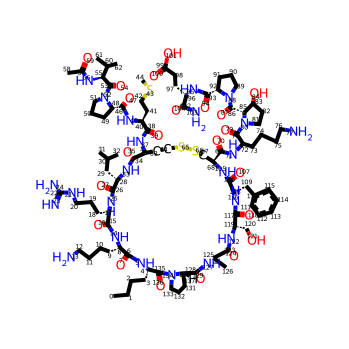 CCCC[C@@H]1NC(=O)[C@H](CCCCN)NC(=O)[C@H](CCCNC(=N)N)NC(=O)[C@H](CC(C)C)NC(=O)C(NC(=O)[C@H](CCSC)NC(=O)[C@@H]2CCCN2C(=O)[C@@H](NC(C)=O)C(C)C)CCSSC[C@@H](C(=O)NC(CCCCN)C(=O)N2CCC(O)[C@H]2C(=O)N2CCC[C@H]2C(=O)N[C@@H](CCC(=O)O)C(N)=O)NC(=O)[C@H](Cc2ccccc2)NC(=O)[C@H](CO)NC(=O)C(C)NC(=O)[C@@H]2CCCN2C1=O